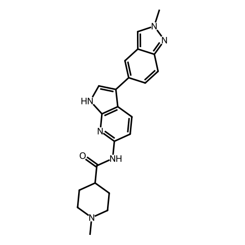 CN1CCC(C(=O)Nc2ccc3c(-c4ccc5nn(C)cc5c4)c[nH]c3n2)CC1